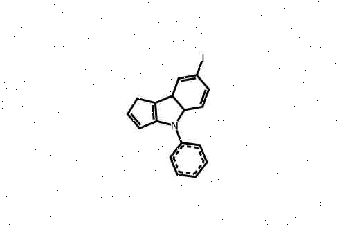 IC1=CC2C3=C(C=CC3)N(c3ccccc3)C2C=C1